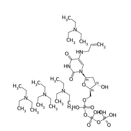 C=CCNc1cn([C@H]2C[C@H](O)[C@@H](COP(=O)(O)OP(=O)(O)OP(=O)(O)O)O2)c(=O)[nH]c1=O.CCN(CC)CC.CCN(CC)CC.CCN(CC)CC.CCN(CC)CC